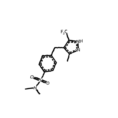 Cc1n[nH]c(C(F)(F)F)c1Cc1ccc(S(=O)(=O)N(C)C)cc1